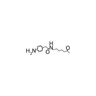 CC(=O)CCCCCNC(=O)Cc1ccc(N)cc1